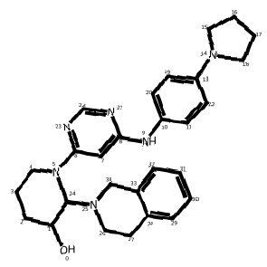 OC1CCCN(c2cc(Nc3ccc(N4CCCC4)cc3)ncn2)C1N1CCc2ccccc2C1